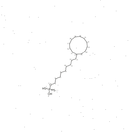 OP(=S)(S)OCCCCCCCCCC1CCCCCCCCCCC1